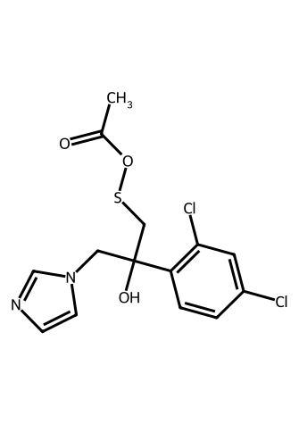 CC(=O)OSCC(O)(Cn1ccnc1)c1ccc(Cl)cc1Cl